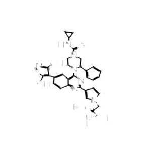 Cc1noc(C)c1-c1ccc2nc(-c3ccn(CC(C)(C)O)c3)nc(N3CCN(C(=O)NC4CC4)CC3c3ccccc3)c2c1